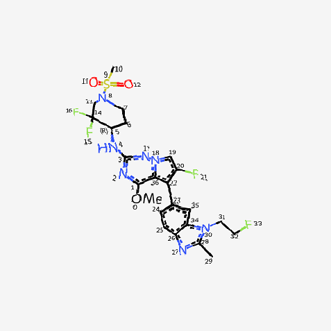 COc1nc(N[C@@H]2CCN(S(C)(=O)=O)CC2(F)F)nn2cc(F)c(-c3ccc4nc(C)n(CCF)c4c3)c12